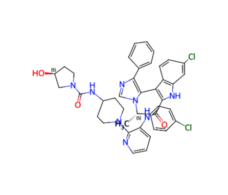 C[C@@H](c1ccc(Cl)cc1)n1cnc(-c2ccccc2)c1-c1c(C(=O)Nc2cccnc2N2CCC(NC(=O)N3CC[C@H](O)C3)CC2)[nH]c2cc(Cl)ccc12